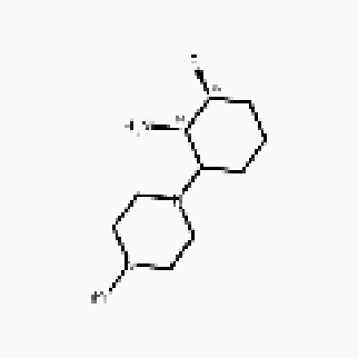 CC(C)N1CCN(C2CCC[C@H](F)[C@@H]2N)CC1